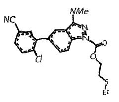 CCSCCOC(=O)n1nc(NC)c2cc(-c3cc(C#N)ccc3Cl)ccc21